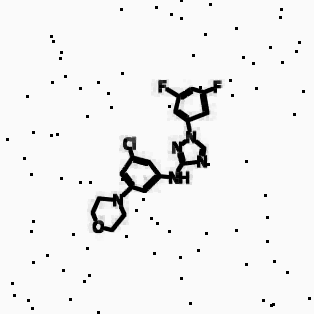 Fc1cc(F)cc(-n2cnc(Nc3cc(Cl)cc(N4CCOCC4)c3)n2)c1